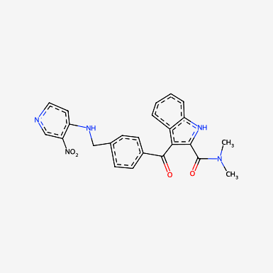 CN(C)C(=O)c1[nH]c2ccccc2c1C(=O)c1ccc(CNc2ccncc2[N+](=O)[O-])cc1